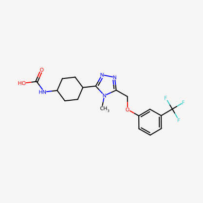 Cn1c(COc2cccc(C(F)(F)F)c2)nnc1C1CCC(NC(=O)O)CC1